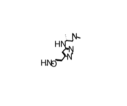 CNO/C=C/c1cc(N[C@H](C)CN(C)C)ncn1